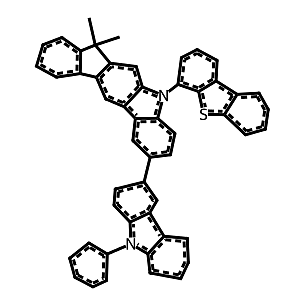 CC1(C)c2ccccc2-c2cc3c4cc(-c5ccc6c(c5)c5ccccc5n6-c5ccccc5)ccc4n(-c4cccc5c4sc4ccccc45)c3cc21